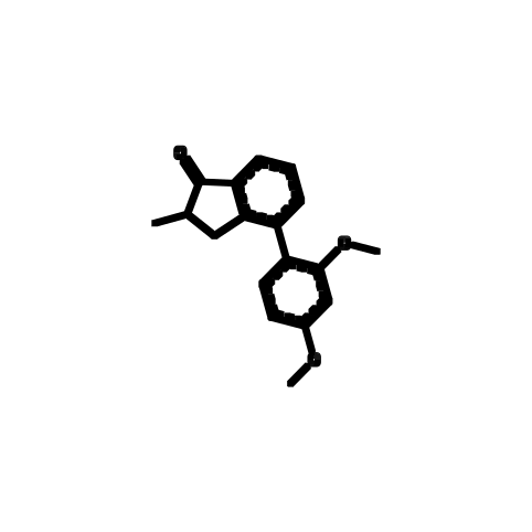 COc1ccc(-c2cccc3c2CC(C)C3=O)c(OC)c1